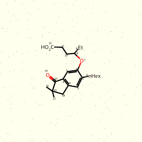 CCCCCCc1cc2c(cc1OC(CC)CCC(=O)O)C(=O)C(C)(C)C2